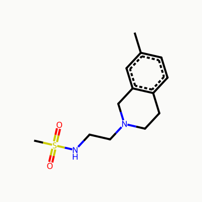 Cc1ccc2c(c1)CN(CCNS(C)(=O)=O)CC2